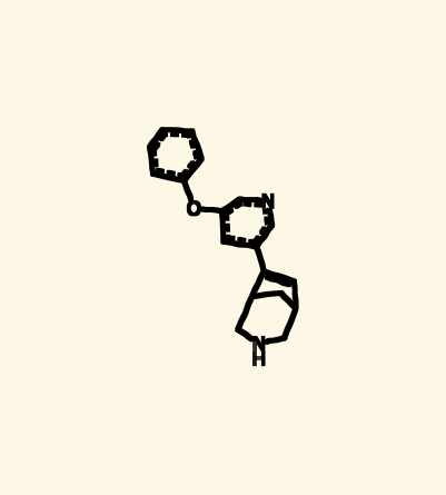 C1=C(c2cncc(Oc3ccccc3)c2)C2CNCC1C2